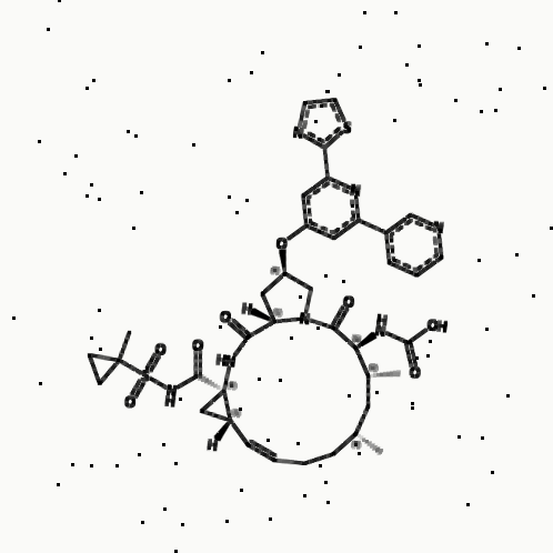 C[C@@H]1CCC=C[C@@H]2C[C@@]2(C(=O)NS(=O)(=O)C2(C)CC2)NC(=O)[C@@H]2C[C@@H](Oc3cc(-c4cccnc4)nc(-c4nccs4)c3)CN2C(=O)[C@@H](NC(=O)O)[C@H](C)C1